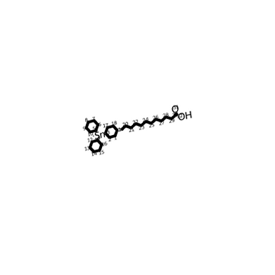 C1CC[CH]([Sn]([CH]2CCCCC2)[CH]2CCCCC2)CC1.CCCCCCCCCCCC(=O)O